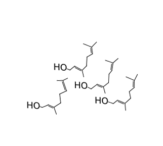 CC(C)=CCCC(C)=CCO.CC(C)=CCCC(C)=CCO.CC(C)=CCCC(C)=CCO.CC(C)=CCCC(C)=CCO